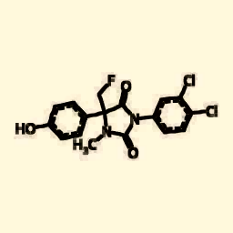 CN1C(=O)N(c2ccc(Cl)c(Cl)c2)C(=O)C1(CF)c1ccc(O)cc1